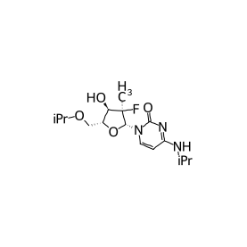 CC(C)Nc1ccn([C@@H]2O[C@H](COC(C)C)[C@@H](O)[C@@]2(C)F)c(=O)n1